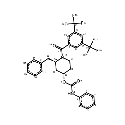 O=C(Nc1ccccc1)O[C@H]1CCN(C(=O)c2cc(C(F)(F)F)cc(C(F)(F)F)c2)[C@H](Cc2ccccc2)C1